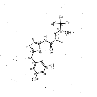 CN(C[C@@H](O)C(F)(F)F)C(=O)Nc1nnc(Cc2cc(Cl)cc(Cl)c2)s1